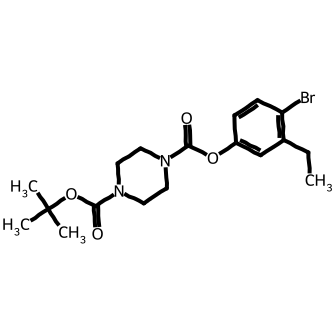 CCc1cc(OC(=O)N2CCN(C(=O)OC(C)(C)C)CC2)ccc1Br